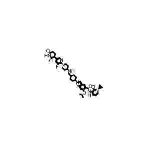 CC(C)Oc1cc2nn(C3CCC(CNC4CCN(c5ncc(C6CCC(=O)NC6=O)cc5F)CC4)CC3)cc2cc1C(=O)Nc1cccn(C2CC2)c1=O